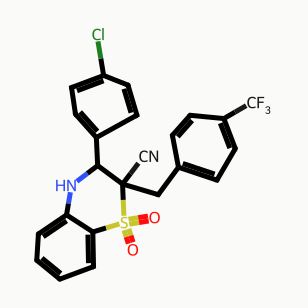 N#CC1(Cc2ccc(C(F)(F)F)cc2)C(c2ccc(Cl)cc2)Nc2ccccc2S1(=O)=O